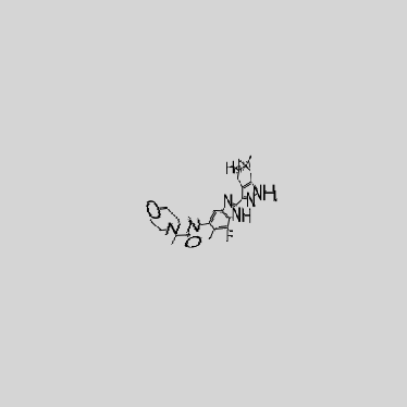 Cc1c(N(C)C(=O)C(C)N2CCOCC2)cc2nc(-c3n[nH]c4c3C[C@@H]3C[C@]3(C)C4)[nH]c2c1F